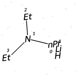 [CH2]CCN(CC)CC.[LiH]